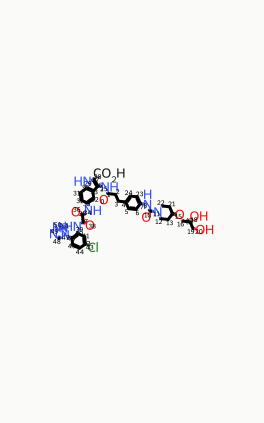 O=C(CCc1ccc(NC(=O)N2CCC(OC[C@@H](O)CO)CC2)cc1)Nc1c(C(=O)O)[nH]c2ccc(NC(=O)C(=O)Nc3cc(Cl)ccc3-n3cnnn3)cc12